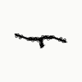 C=CC(=O)OCCC(=O)OCCCCCCOc1ccc(OC(=O)[C@H]2CC[C@H](OC(=O)c3ccc(OC(=O)[C@H]4CC[C@H](OC(=O)c5ccc(OCCCCCCOC(=O)CCOC(=O)C=C)cc5)CC4)c4sc(-c5cc6c(C)cc(C)cc6o5)nc34)CC2)cc1